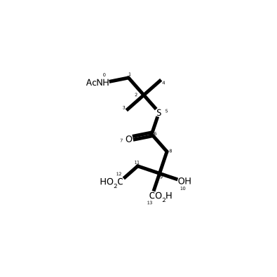 CC(=O)NCC(C)(C)SC(=O)CC(O)(CC(=O)O)C(=O)O